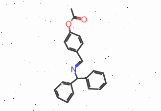 CC(=O)Oc1ccc(C=NC(c2ccccc2)c2ccccc2)cc1